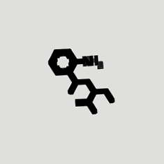 C=C(C)C(CC)CC(C)c1ccccc1N